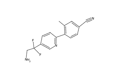 Cc1cc(C#N)ccc1-c1ccc(C(F)(F)CN)cn1